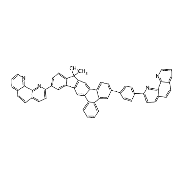 CC1(C)c2ccc(-c3ccc4ccc5cccnc5c4n3)cc2-c2cc3c4ccccc4c4cc(-c5ccc(-c6ccc7ccc8cccnc8c7n6)cc5)ccc4c3cc21